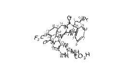 CC(C)CCC1(c2ccccc2)NC(=N)N(Cc2ccc(C(F)(F)F)c(C(=O)N3Cc4cnc(NC(=O)O)nc4C3)c2)C1=O